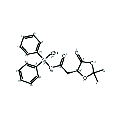 CC1(C)OC(=O)[C@H](CC(=O)O[Si](c2ccccc2)(c2ccccc2)C(C)(C)C)O1